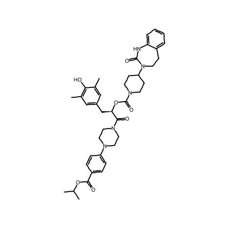 Cc1cc(C[C@@H](OC(=O)N2CCC(N3CCc4ccccc4NC3=O)CC2)C(=O)N2CCN(c3ccc(C(=O)OC(C)C)cc3)CC2)cc(C)c1O